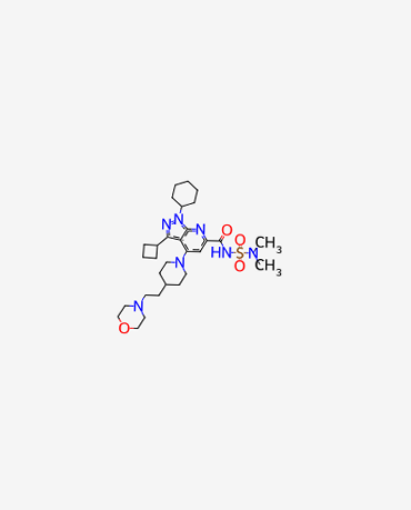 CN(C)S(=O)(=O)NC(=O)c1cc(N2CCC(CCN3CCOCC3)CC2)c2c(C3CCC3)nn(C3CCCCC3)c2n1